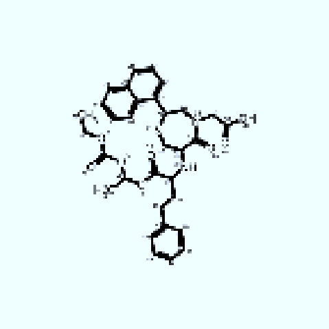 CCOC(=O)OC(C)OC(=O)C(CCc1ccccc1)NC1CSC(c2cccc3ccccc23)CN(CC(=O)O)C1=O